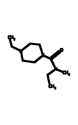 CCN1CCN(C(=O)N(C)CC)CC1